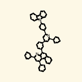 c1ccc(-c2cc(-c3cccc(-c4cc5ccccc5c5c(-c6ccccc6)cc(-c6ccccc6)nc45)c3)cc(-c3ccc(-n4c5ccccc5c5ccccc54)cc3)n2)cc1